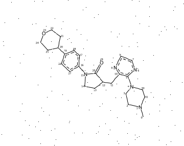 CN1CCN(c2nccnc2CC2CCN(c3ccc(C4CCOCC4)cc3)C2=O)CC1